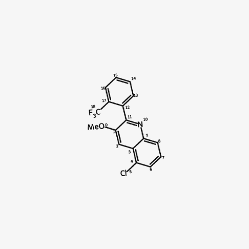 COc1cc2c(Cl)cccc2nc1-c1ccccc1C(F)(F)F